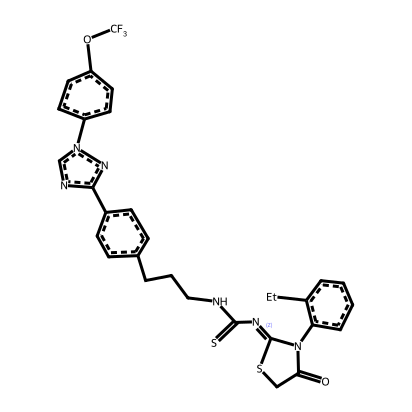 CCc1ccccc1N1C(=O)CS/C1=N\C(=S)NCCCc1ccc(-c2ncn(-c3ccc(OC(F)(F)F)cc3)n2)cc1